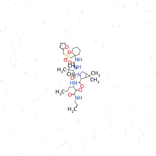 C=CCNC(=O)C(=O)C(CCC)NC(=O)C1C2C(CN1C(=O)[C@@H](NC(=O)NC1(CS(=O)(=O)Cc3ccco3)CCCCC1)C(C)(C)C)C2(C)C